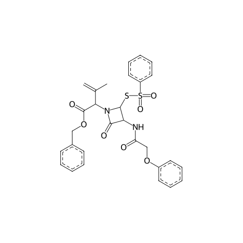 C=C(C)C(C(=O)OCc1ccccc1)N1C(=O)C(NC(=O)COc2ccccc2)C1SS(=O)(=O)c1ccccc1